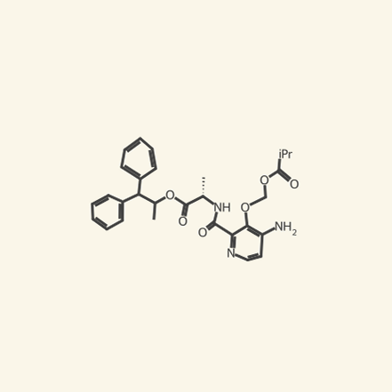 CC(C)C(=O)OCOc1c(N)ccnc1C(=O)N[C@@H](C)C(=O)OC(C)C(c1ccccc1)c1ccccc1